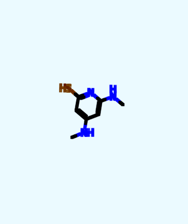 CNc1cc(S)nc(NC)c1